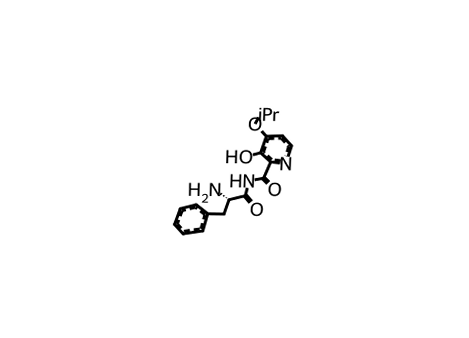 CC(C)Oc1ccnc(C(=O)NC(=O)[C@@H](N)Cc2ccccc2)c1O